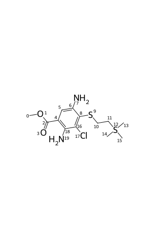 COC(=O)c1cc(N)c(SCCS(C)(C)C)c(Cl)c1N